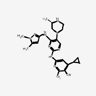 Cc1nc(Nc2ncc(N3CCN[C@H](C)C3)c(Nc3cc(C)n(C)n3)n2)cc(C2CC2)c1C#N